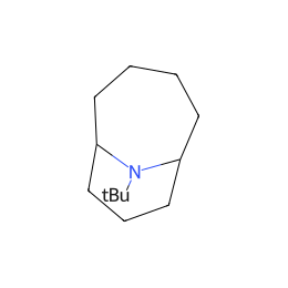 CC(C)(C)N1C2CCCCC1CCC2